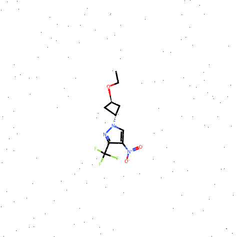 CCO[C@H]1C[C@H](n2cc([N+](=O)[O-])c(C(F)(F)F)n2)C1